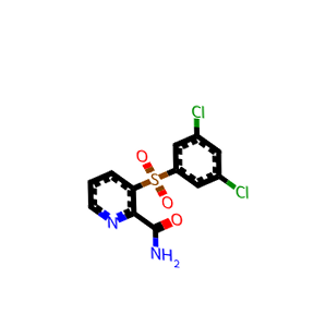 NC(=O)c1ncccc1S(=O)(=O)c1cc(Cl)cc(Cl)c1